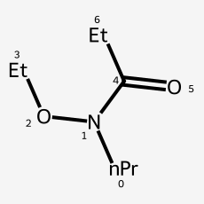 CCCN(OCC)C(=O)CC